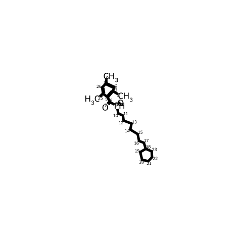 Cc1cc(C)c(C(=O)[PH](=O)CCCCCCCCC2CCCCC2)c(C)c1